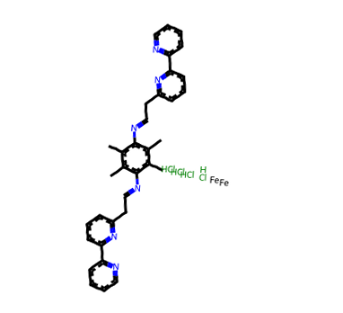 Cc1c(C)c(N=CCc2cccc(-c3ccccn3)n2)c(C)c(C)c1N=CCc1cccc(-c2ccccn2)n1.Cl.Cl.Cl.Cl.[Fe].[Fe]